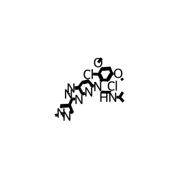 COc1cc(OC)c(Cl)c(N(CCNC(C)C)c2ccc3nnc(-c4cnn(C)c4)nc3n2)c1Cl